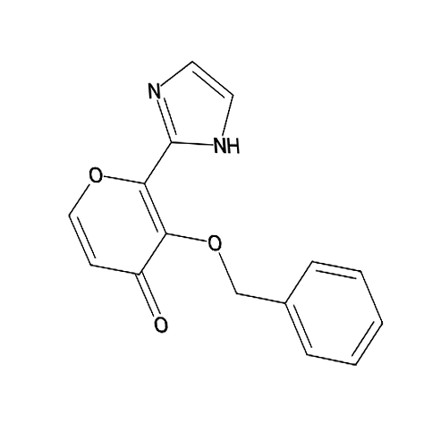 O=c1ccoc(-c2ncc[nH]2)c1OCc1ccccc1